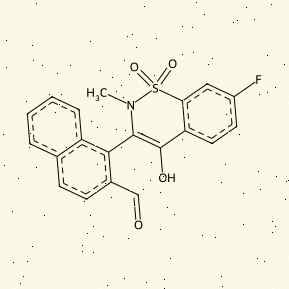 CN1C(c2c(C=O)ccc3ccccc23)=C(O)c2ccc(F)cc2S1(=O)=O